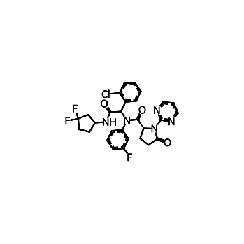 O=C(NC1CCC(F)(F)C1)C(c1ccccc1Cl)N(C(=O)[C@@H]1CCC(=O)N1c1ncccn1)c1cccc(F)c1